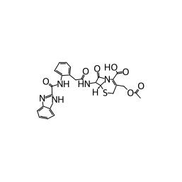 CC(=O)OCC1=C(C(=O)O)N2C(=O)C(NC(=O)Cc3ccccc3NC(=O)c3nc4ccccc4[nH]3)[C@H]2SC1